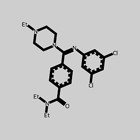 CCN1CCN(C(=Nc2cc(Cl)cc(Cl)c2)c2ccc(C(=O)N(CC)CC)cc2)CC1